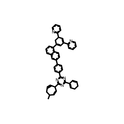 CC1C=CC(c2nc(C3=CCCC=C3)nc(-c3ccc(-c4ccc5c(C6=CC(c7ccccn7)=CC(c7ccccn7)C6)cccc5c4)cc3)n2)C#CC1